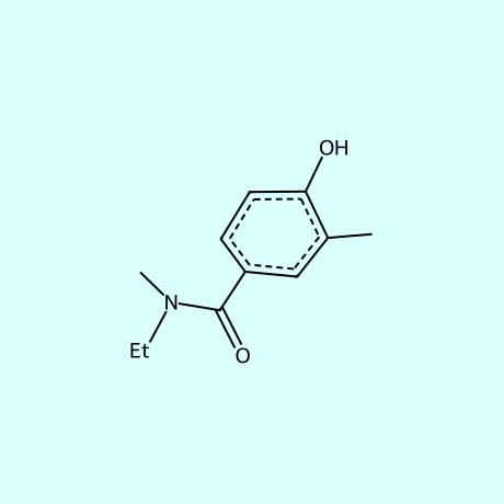 CCN(C)C(=O)c1ccc(O)c(C)c1